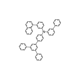 c1ccc(-c2cc(-c3ccccc3)cc(-c3ccc(N(c4cccc(-c5ccccc5)c4)c4cccc(-c5cccc6ccccc56)c4)cc3)c2)cc1